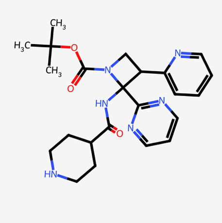 CC(C)(C)OC(=O)N1CC(c2ccccn2)C1(NC(=O)C1CCNCC1)c1ncccn1